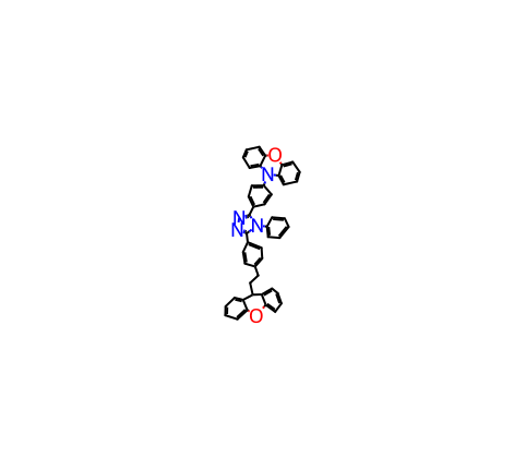 c1ccc(-n2c(-c3ccc(CCC4c5ccccc5Oc5ccccc54)cc3)nnc2-c2ccc(N3c4ccccc4Oc4ccccc43)cc2)cc1